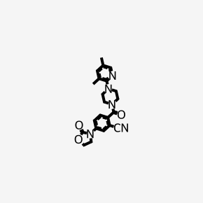 Cc1cnc(N2CCN(C(=O)c3ccc(N4CCOC4=O)cc3C#N)CC2)c(C)c1